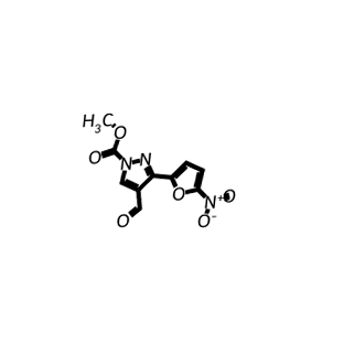 COC(=O)n1cc(C=O)c(-c2ccc([N+](=O)[O-])o2)n1